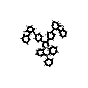 C1=C(c2ccc(-c3cccc4oc5ccccc5c34)cc2)C(c2ccc(-c3cccc4oc5ccccc5c34)cc2)=C[Si]12c1ccccc1B(c1ccccc1)c1ccccc12